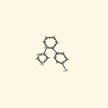 Clc1ccc(-c2ccccc2-c2cscn2)cc1